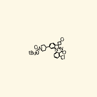 CC(C)(C)OC(=O)N1CCC(c2ccc3c(c2)-n2c(nc(=O)c4c(Cl)cccc42)C32CC(=O)C2)CC1